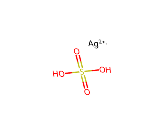 O=S(=O)(O)O.[Ag+2]